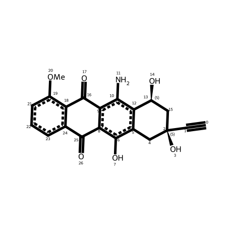 C#C[C@]1(O)Cc2c(O)c3c(c(N)c2[C@@H](O)C1)C(=O)c1c(OC)cccc1C3=O